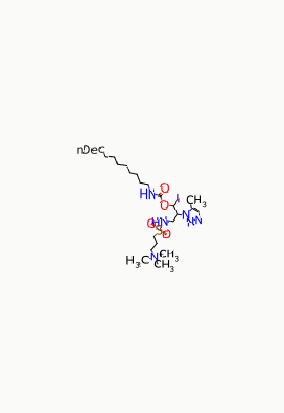 CCCCCCCCCCCCCCCCCCNC(=O)OC(I)C(CNS(=O)(=O)CCC[N+](C)(C)C)n1nncc1C